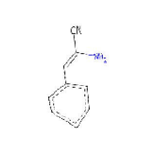 N#CC(N)=Cc1ccccc1